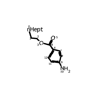 CCCCCCCCCOC(=O)c1ccc(N)cc1